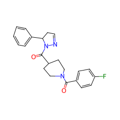 O=C(c1ccc(F)cc1)N1CCC(C(=O)N2N=CCC2c2ccccc2)CC1